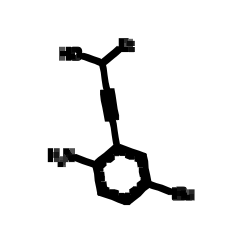 CCC(O)C#Cc1cc(C(C)(C)C)ccc1N